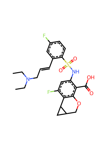 CCN(CC)C/C=C/c1cc(F)ccc1S(=O)(=O)Nc1cc(F)c2c(c1C(=O)O)OCC1CC21